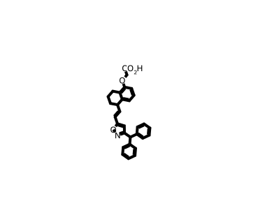 O=C(O)COc1cccc2c1CCCC2C=Cc1cc(C(c2ccccc2)c2ccccc2)no1